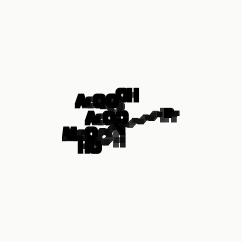 CC(=O)OC[C@H]1O[C@H](O)C=C[C@@H]1OC(C)=O.COc1cc(CNC(=O)CCCC/C=C/C(C)C)ccc1O